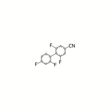 N#Cc1cc(F)c(-c2[c]cc(F)cc2F)c(F)c1